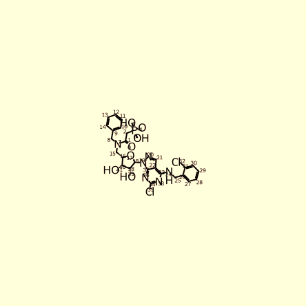 O=C(CP(=O)(O)O)N(Cc1ccccc1)C[C@H]1O[C@@H](n2ncc3c(NCc4ccccc4Cl)nc(Cl)nc32)[C@H](O)[C@@H]1O